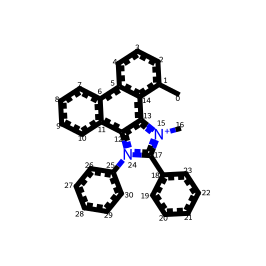 Cc1cccc2c3ccccc3c3c(c12)[n+](C)c(-c1ccccc1)n3-c1ccccc1